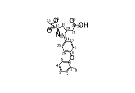 Cc1ccccc1Oc1ccc(N2N=C(S(C)(=O)=O)CC2CC(=O)O)cc1